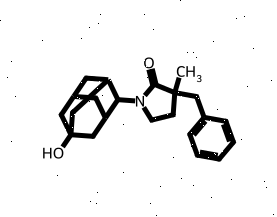 CC1(Cc2ccccc2)CCN(C2C3CC4CC2CC(O)(C4)C3)C1=O